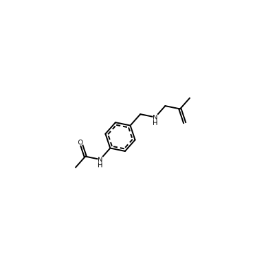 C=C(C)CNCc1ccc(NC(C)=O)cc1